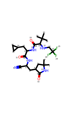 CC1(C)CC(CC(C#N)NC(=O)C(CC2CC2)NC(=O)C(NCC(F)(F)F)C(C)(C)C)C(=O)N1